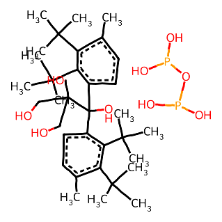 Cc1ccc(C(O)(c2ccc(C)c(C(C)(C)C)c2C(C)(C)C)C(CO)(CO)CO)c(C(C)(C)C)c1C(C)(C)C.OP(O)OP(O)O